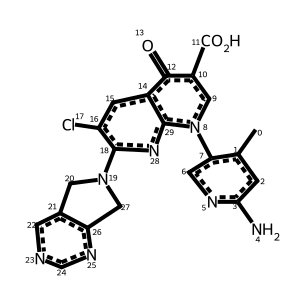 Cc1cc(N)ncc1-n1cc(C(=O)O)c(=O)c2cc(Cl)c(N3Cc4cncnc4C3)nc21